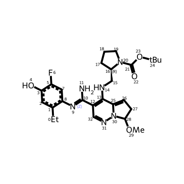 CCc1cc(O)c(F)cc1/N=C(\N)C1=C(NC[C@H]2CCCN2C(=O)OC(C)(C)C)C2=CCC(OC)N2N=C1